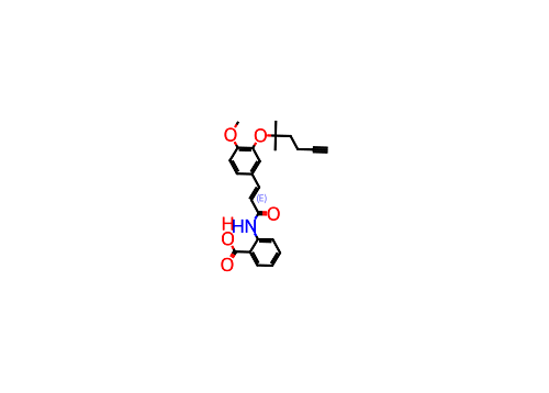 C#CCCC(C)(C)Oc1cc(/C=C/C(=O)Nc2ccccc2C(=O)O)ccc1OC